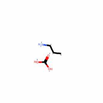 CCCN.O=C(O)O